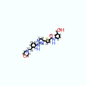 O=C(Nc1cccc(CO)c1)c1ccc(-c2ccnc(Nc3cccc(CCN4CCOCC4)c3)n2)s1